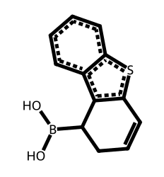 OB(O)C1CC=Cc2sc3ccccc3c21